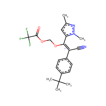 Cc1cc(/C(OCOC(=O)C(F)(F)F)=C(\C#N)c2ccc(C(C)(C)C)cc2)n(C)n1